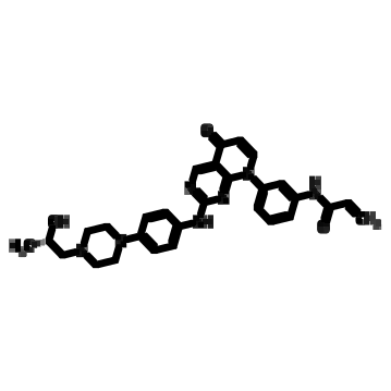 C=CC(=O)Nc1cccc(-n2ccc(=O)c3cnc(Nc4ccc(N5CCN(C[C@H](C)O)CC5)cc4)nc32)c1